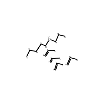 C=CC.C=CC.C=CC.C=CC.CCCCCOCCC